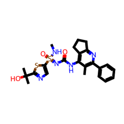 CNS(=O)(=NC(=O)Nc1c(C)c(-c2ccccc2)nc2c1CCC2)c1cnc(C(C)(C)O)s1